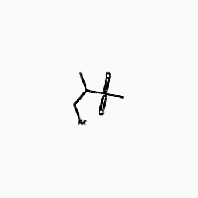 CC(=O)CC(C)S(C)(=O)=O